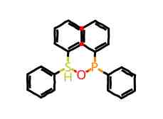 c1ccc(P(O[SH](c2ccccc2)c2ccccc2)c2ccccc2)cc1